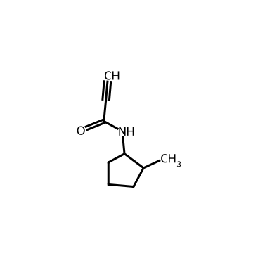 C#CC(=O)NC1CCCC1C